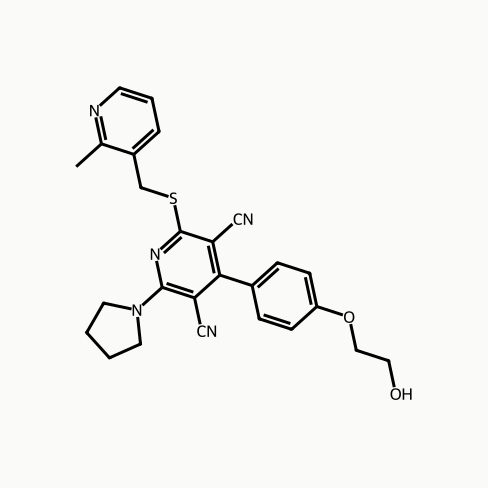 Cc1ncccc1CSc1nc(N2CCCC2)c(C#N)c(-c2ccc(OCCO)cc2)c1C#N